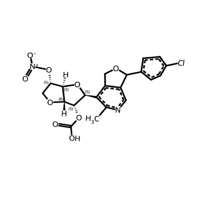 Cc1ncc2c(c1[C@@H]1O[C@H]3[C@@H](OC[C@@H]3O[N+](=O)[O-])[C@H]1OC(=O)O)COC2c1ccc(Cl)cc1